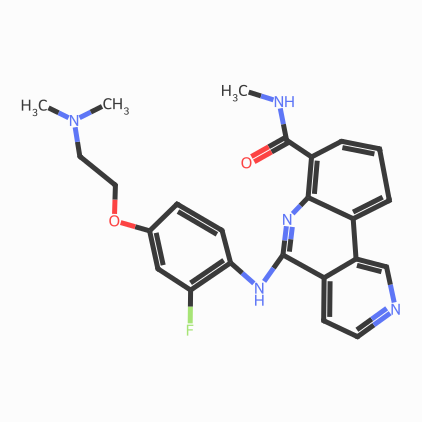 CNC(=O)c1cccc2c1nc(Nc1ccc(OCCN(C)C)cc1F)c1ccncc12